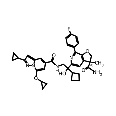 C[C@]1(C(N)=O)COc2c1cc(C(O)(CNC(=O)c1cc(OC3CC3)n3nc(C4CC4)cc3c1)C1CCC1)nc2-c1ccc(F)cc1